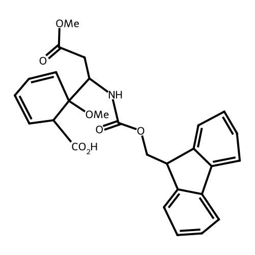 COC(=O)CC(NC(=O)OCC1c2ccccc2-c2ccccc21)C1(OC)C=CC=CC1C(=O)O